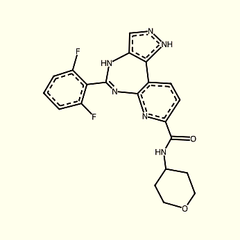 O=C(NC1CCOCC1)c1ccc2c(n1)N=C(c1c(F)cccc1F)Nc1cn[nH]c1-2